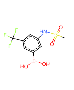 CS(=O)(=O)Nc1cc(B(O)O)cc(C(F)(F)F)c1